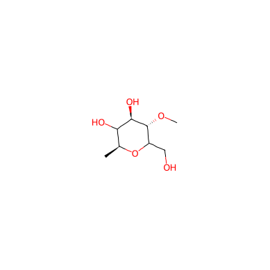 CO[C@@H]1C(CO)O[C@@H](C)C(O)[C@H]1O